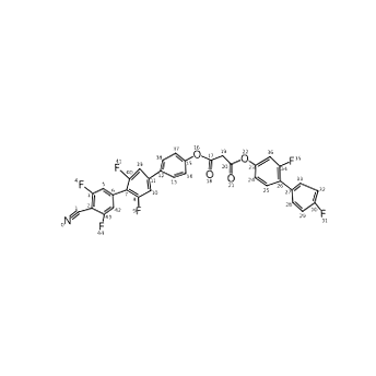 N#Cc1c(F)cc(-c2c(F)cc(-c3ccc(OC(=O)CC(=O)Oc4ccc(-c5ccc(F)cc5)c(F)c4)cc3)cc2F)cc1F